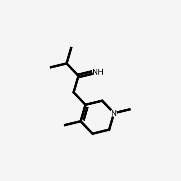 CC1=C(CC(=N)C(C)C)CN(C)CC1